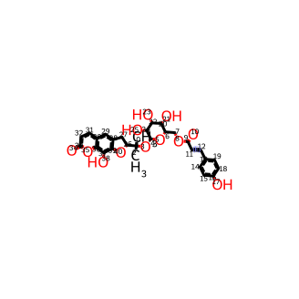 CC(C)(OC1OC(COC(=O)/C=C/c2ccc(O)cc2)C(O)C(O)C1O)C1Cc2cc3ccc(=O)oc3c(O)c2O1